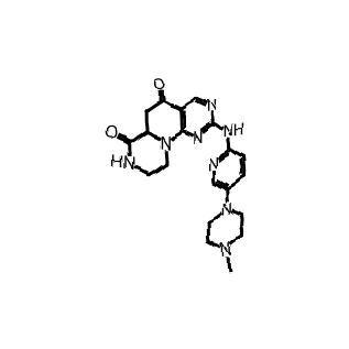 CN1CCN(c2ccc(Nc3ncc4c(n3)N3CCNC(=O)C3CC4=O)nc2)CC1